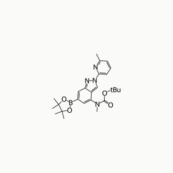 Cc1cccc(-n2cc3c(N(C)C(=O)OC(C)(C)C)cc(B4OC(C)(C)C(C)(C)O4)cc3n2)n1